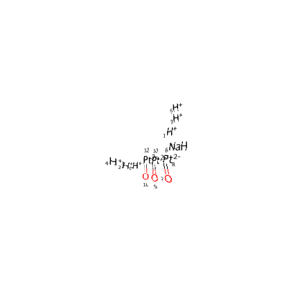 [H+].[H+].[H+].[H+].[H+].[H+].[NaH].[O]=[Pt-2].[O]=[Pt-2].[O]=[Pt-2]